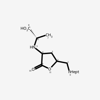 CCCCCCCCC1CC(N[C@@H](C)C(=O)O)C(=O)O1